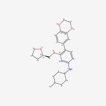 CC1CCC(Nc2ncc(-c3ccc4c(c3)OCCO4)c(OC[C@H]3CCCO3)n2)CC1